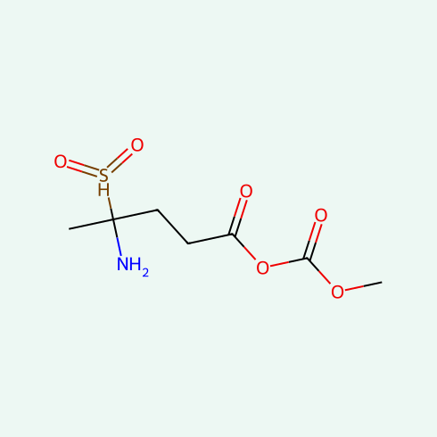 COC(=O)OC(=O)CCC(C)(N)[SH](=O)=O